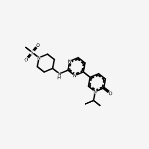 CC(C)n1cc(-c2ccnc(NC3CCN(S(C)(=O)=O)CC3)n2)ccc1=O